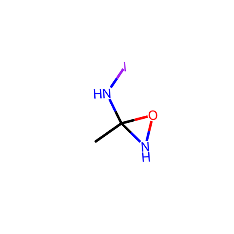 CC1(NI)NO1